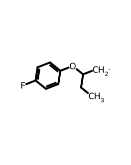 [CH2]C(CC)Oc1ccc(F)cc1